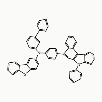 c1ccc(-c2cccc(N(c3ccc(-c4cc5c(c6ccccc46)c4ccccc4n5-c4ccccc4)cc3)c3ccc4sc5ccccc5c4c3)c2)cc1